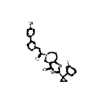 N#Cc1ccc(-c2cccc(CC(=O)N3CCCc4nc(C5(c6cccc(Cl)c6)CC5)[nH]c(=O)c4C3)c2)cc1